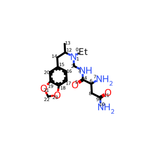 CCN(CNC(=O)C(N)CC(N)=O)C(C)Cc1ccc2c(c1)OCO2